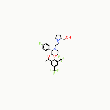 C[C@@H](O[C@H]1OCCN(CCN2CCC[C@@H]2CO)[C@H]1c1ccc(F)cc1)c1cc(C(F)(F)F)cc(C(F)(F)F)c1